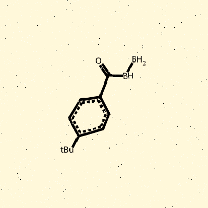 BBC(=O)c1ccc(C(C)(C)C)cc1